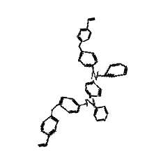 C=Cc1ccc(Cc2ccc(N(c3ccccc3)c3ccc(N(c4ccccc4)c4ccc(Cc5ccc(C=C)cc5)cc4)cc3)cc2)cc1